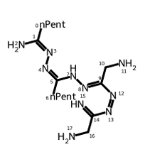 CCCCC/C(N)=N/N=C(/CCCCC)N/N=C(CN)/N=N\C(=N)CN